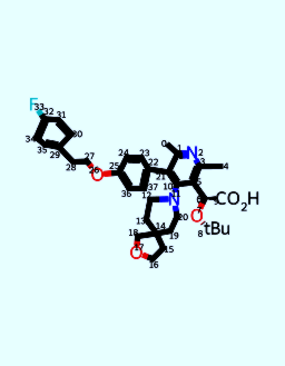 Cc1nc(C)c([C@H](OC(C)(C)C)C(=O)O)c(N2CCC3(CCOC3)CC2)c1-c1ccc(OCCc2ccc(F)cc2)cc1